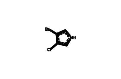 Clc1c[nH]cc1Br